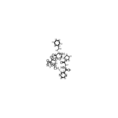 CC(C)C[C@H](NC(=O)[C@H](CCc1ccccc1)NC(=O)[C@@H]1CCCN1C(=O)CNC(=O)c1cnccn1)C(=O)[C@@]1(C)CO1